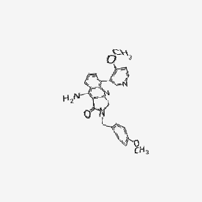 COc1ccc(CN2Cc3nc4c(-c5cnccc5OC)cccc4c(N)c3C2=O)cc1